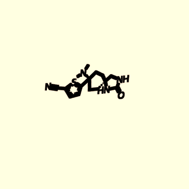 CN(C)[C@]1(c2ccc(C#N)s2)CC[C@]2(CC1)CNC(=O)N2